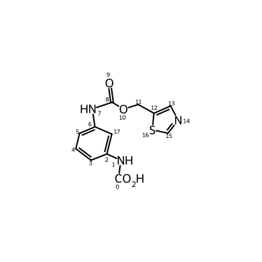 O=C(O)Nc1cccc(NC(=O)OCc2cncs2)c1